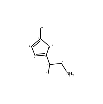 Cc1ccc(C(C)CN)s1